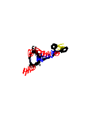 CC[C@H]1OC(=O)/C(C)=C\[C@H](C)[C@@H](O)[C@](C)(O)C[C@@H](C)CN(CCCNCc2nc3c(o2)-c2ccccc2Sc2ccccc2-3)[C@H](C)[C@@H](O)[C@]1(C)O